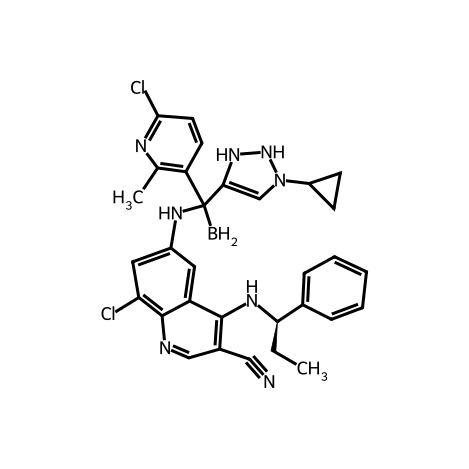 BC(Nc1cc(Cl)c2ncc(C#N)c(N[C@H](CC)c3ccccc3)c2c1)(C1=CN(C2CC2)NN1)c1ccc(Cl)nc1C